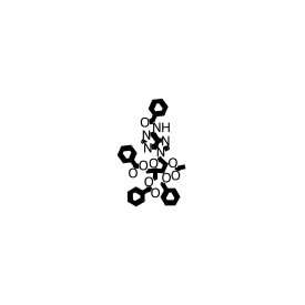 CC(=O)O[C@H]1[C@H](n2cnc3c(NC(=O)c4ccccc4)ncnc32)OC(COC(=O)c2ccccc2)(COC(=O)c2ccccc2)[C@H]1OCc1ccccc1